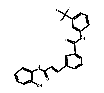 O=C(C=Cc1cccc(C(=O)Nc2cccc(C(F)(F)F)c2)c1)Nc1ccccc1O